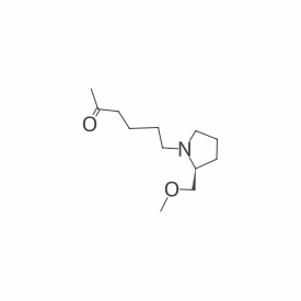 COC[C@@H]1CCCN1CCCCC(C)=O